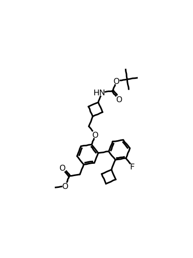 COC(=O)Cc1ccc(OCC2CC(NC(=O)OC(C)(C)C)C2)c(-c2cccc(F)c2C2CCC2)c1